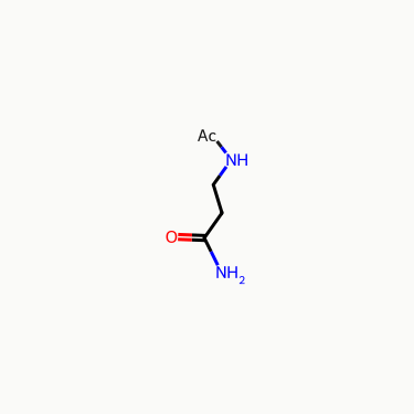 [CH2]C(=O)NCCC(N)=O